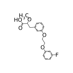 COC(Cc1cccc(OCCOc2cccc(F)c2)c1)C(=O)O